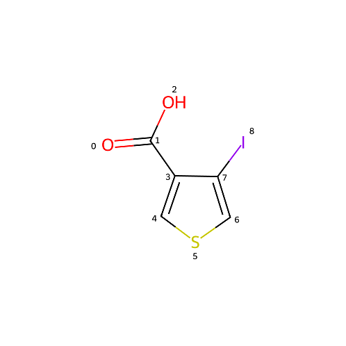 O=C(O)c1cscc1I